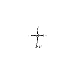 [I][Al-]([I])([I])[I].[Na+]